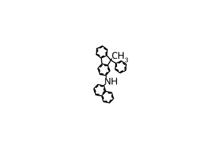 CC1(c2ccccc2)c2ccccc2-c2ccc(Nc3cccc4ccccc34)cc21